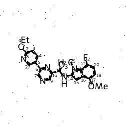 CCOc1ccc(-c2cncc(C(=O)Nc3cc4c(OC)ccc(F)c4n3C)n2)cn1